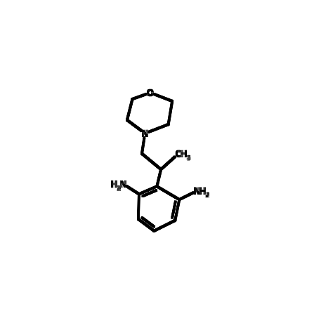 CC(CN1CCOCC1)c1c(N)cccc1N